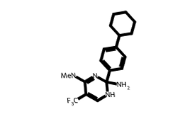 CNC1=NC(N)(c2ccc(C3CCCCC3)cc2)NC=C1C(F)(F)F